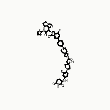 O=C1CCC(Nc2ccc(N3CCC(O)(CC(=O)N4CC5(CCN(c6ccc(-c7cc(F)c8c(c7)C(=O)N(C(C(=O)Nc7nccs7)c7ncn9c7CCC9)C8)cc6)CC5)C4)CC3)c(F)c2)C(=O)N1